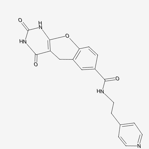 O=C(NCCc1ccncc1)c1ccc2c(c1)Cc1c([nH]c(=O)[nH]c1=O)O2